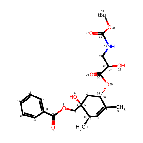 CC1=C[C@@H](C)[C@](O)(COC(=O)c2ccccc2)C[C@@H]1OC(=O)[C@H](O)CNC(=O)OC(C)(C)C